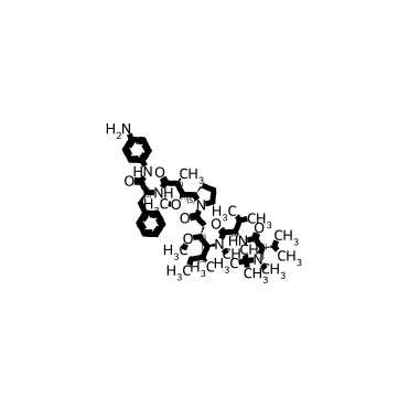 CC[C@H](C)[C@@H]([C@@H](CC(=O)N1CCC[C@H]1[C@H](OC)[C@@H](C)C(=O)N[C@@H](Cc1ccccc1)C(=O)Nc1ccc(N)cc1)OC)N(C)C(=O)[C@@H](NC(=O)[C@H](C(C)C)N(C)C(C)(C)C)C(C)C